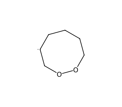 [CH]1CCCCOOC1